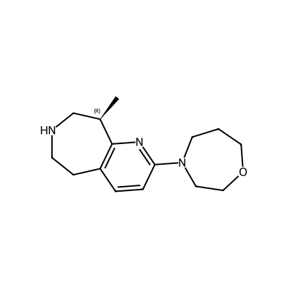 C[C@@H]1CNCCc2ccc(N3CCCOCC3)nc21